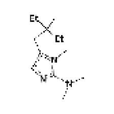 CCC(C)(CC)Cc1cnc(N(C)C)n1C